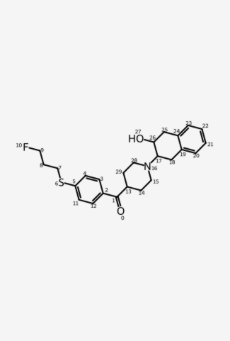 O=C(c1ccc(SCCCF)cc1)C1CCN(C2Cc3ccccc3CC2O)CC1